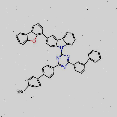 CCCCc1ccc(-c2ccc(-c3nc(-c4cccc(-c5ccccc5)c4)nc(-n4c5ccccc5c5cc(-c6cccc7c6oc6ccccc67)ccc54)n3)cc2)cc1